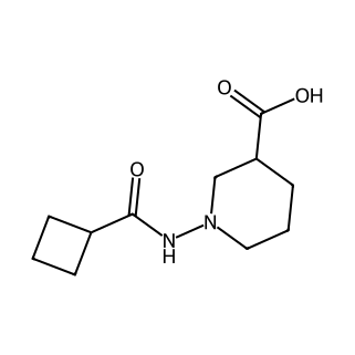 O=C(O)C1CCCN(NC(=O)C2CCC2)C1